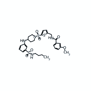 CCCCNS(=O)(=O)c1cccc(NC2CCN(S(=O)(=O)c3ccc(CNC(=O)c4cccc(OC)c4)s3)CC2)c1